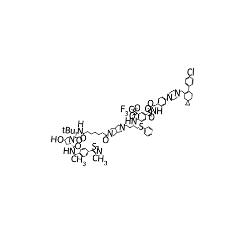 Cc1ncsc1-c1ccc([C@H](C)NC(=O)[C@@H]2C[C@@H](O)CN2C(=O)[C@@H](NC(=O)CCCCCC(=O)N2CC3CN(CC[C@H](CSc4ccccc4)Nc4ccc(S(=O)(=O)NC(=O)c5ccc(N6CCN(CC7=C(c8ccc(Cl)cc8)CCC8(CC8)C7)CC6)cc5)cc4S(=O)(=O)C(F)(F)F)CC3C2)C(C)(C)C)cc1